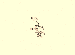 CCCCN(C)OC(O)OCC(C)C